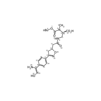 CCCCOC(=O)N(C)[C@H](CNC(=O)CC1CC(c2ccc(C(N)=NO)cc2)=NO1)C(=O)O